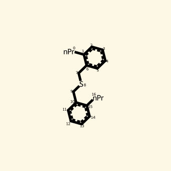 CCCc1ccccc1CSCc1ccccc1CCC